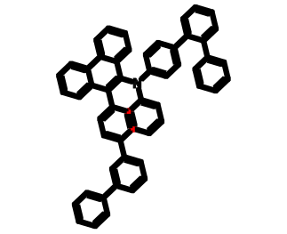 c1ccc(-c2cccc(-c3ccc(-c4c(N(c5ccccc5)c5ccc(-c6ccccc6-c6ccccc6)cc5)c5ccccc5c5ccccc45)cc3)c2)cc1